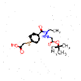 CCN(NCC(=O)OC(C)(C)C)C(=O)c1ccc(SCC(=O)O)cc1